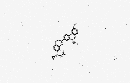 COc1ccc(F)c(-c2ccc(C3CCc4ccc([C@H](C5CC5)[C@H](C)C(C)=O)cc4O3)cc2CN)c1